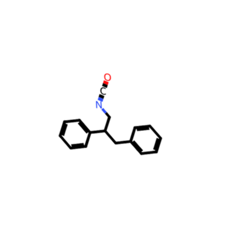 O=C=NCC(Cc1ccccc1)c1ccccc1